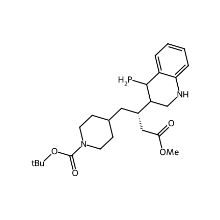 COC(=O)C[C@H](CC1CCN(C(=O)OC(C)(C)C)CC1)C1CNc2ccccc2C1P